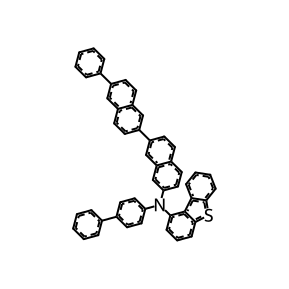 c1ccc(-c2ccc(N(c3ccc4ccc(-c5ccc6cc(-c7ccccc7)ccc6c5)cc4c3)c3cccc4sc5ccccc5c34)cc2)cc1